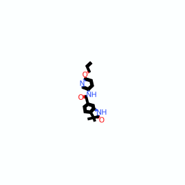 C=CCOc1ccc(NC(=O)c2ccc3c(c2)NC(=O)C3(C)C)cn1